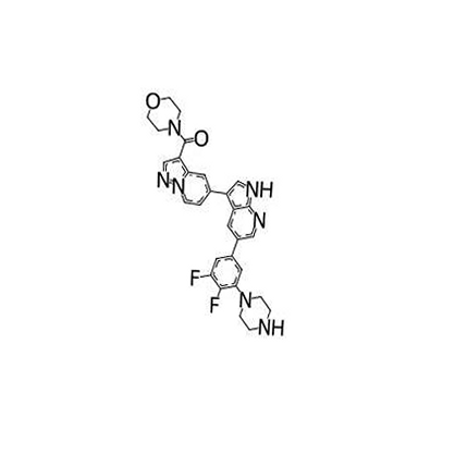 O=C(c1cnn2ccc(-c3c[nH]c4ncc(-c5cc(F)c(F)c(N6CCNCC6)c5)cc34)cc12)N1CCOCC1